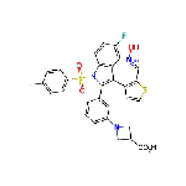 Cc1ccc(S(=O)(=O)n2c(-c3cccc(N4CC(C(=O)O)C4)c3)c(-c3ccsc3/C=N/O)c3cc(F)ccc32)cc1